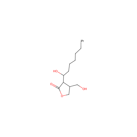 CC(C)CCCCCC(O)C1C(=O)OCC1CO